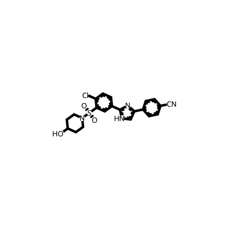 N#Cc1ccc(-c2c[nH]c(-c3ccc(Cl)c(S(=O)(=O)N4CCC(O)CC4)c3)n2)cc1